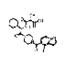 CN[C@@H](C)C(=O)N[C@H](C(=O)N1CCN(C(=O)c2ccn3nccc3c2F)CC1)C1CCCCC1